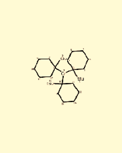 CC(C)(C)[C]1([Cr]([C]2(C(C)(C)C)CCCCC2)[C]2(C(C)(C)C)CCCCC2)CCCCC1